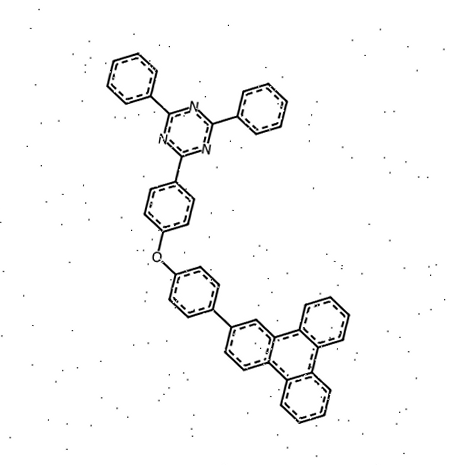 c1ccc(-c2nc(-c3ccccc3)nc(-c3ccc(Oc4ccc(-c5ccc6c7ccccc7c7ccccc7c6c5)cc4)cc3)n2)cc1